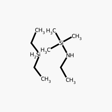 CCN[Si](C)(C)C.CC[SiH2]CC